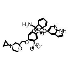 NC(=O)C1C=CC=CC1(Oc1cnc2[nH]ccc2c1)S(=O)(=O)c1ccc(OCC2CN(C3CC3)CCO2)c([N+](=O)[O-])c1